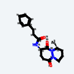 CC(=O)[C@@H]1CCCN2C(=O)CC[C@H](NC(=O)CCc3ccccc3)C(=O)N12